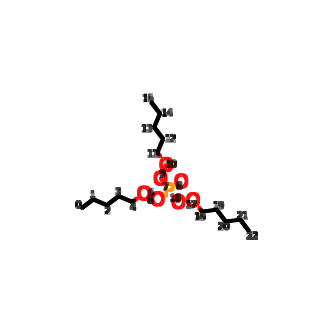 CCCCCOOP(=O)(OOCCCCC)OOCCCCC